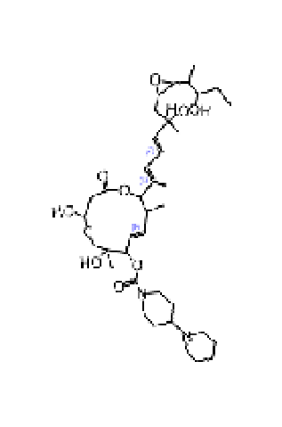 CCC(O)C(C)C1OC1CC(C)(O)/C=C/C=C(\C)C1OC(=O)CC(O)CCC(C)(O)C(OC(=O)N2CCC(N3CCCCC3)CC2)/C=C/C1C